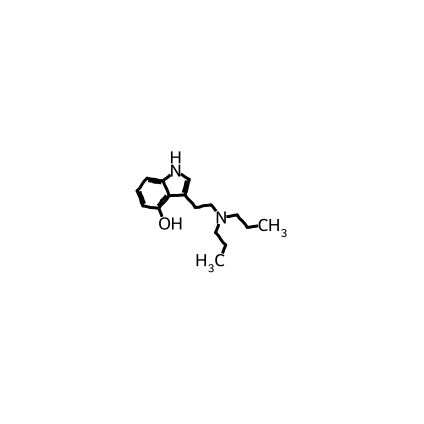 CCCN(CCC)CCc1c[nH]c2cccc(O)c12